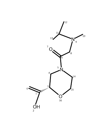 C=C(O)[C@@H]1CN(C(=O)CN(C)C(C)C)CCO1